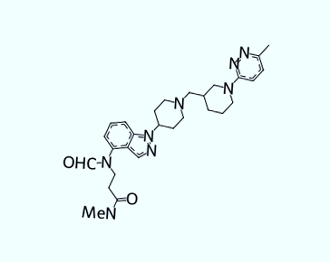 CNC(=O)CCN(C=O)c1cccc2c1cnn2C1CCN(CC2CCCN(c3ccc(C)nn3)C2)CC1